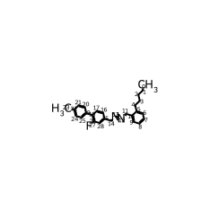 CCCCCc1ccccc1C=NN=Cc1ccc(-c2ccc(C)cc2)c(F)c1